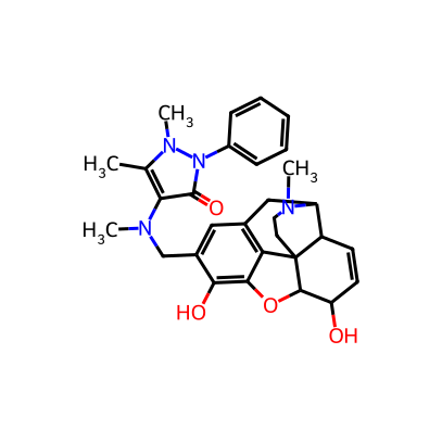 Cc1c(N(C)Cc2cc3c4c(c2O)OC2C(O)C=CC5C(C3)N(C)CCC452)c(=O)n(-c2ccccc2)n1C